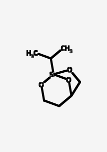 CC(C)[Si]12OCCC(CO1)O2